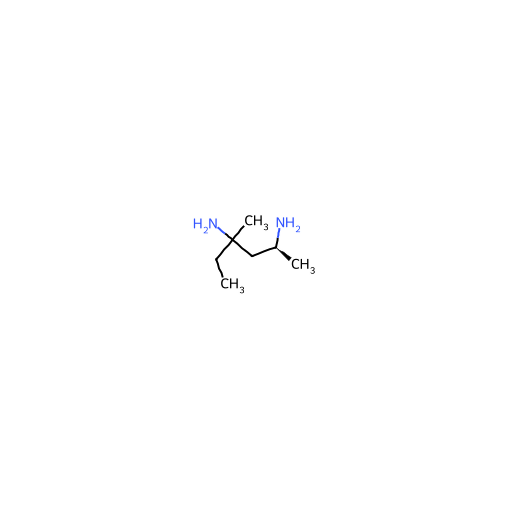 CCC(C)(N)C[C@H](C)N